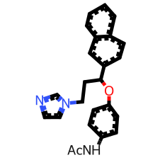 CC(=O)Nc1ccc(OC(CCn2ccnc2)c2ccc3ccccc3c2)cc1